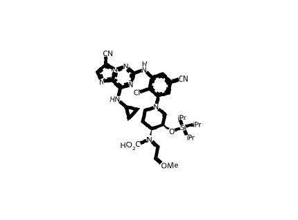 COCCN(C(=O)O)[C@@H]1CCN(c2cc(C#N)cc(Nc3nc(NC4CC4)c4ncc(C#N)n4n3)c2Cl)C[C@H]1O[Si](C(C)C)(C(C)C)C(C)C